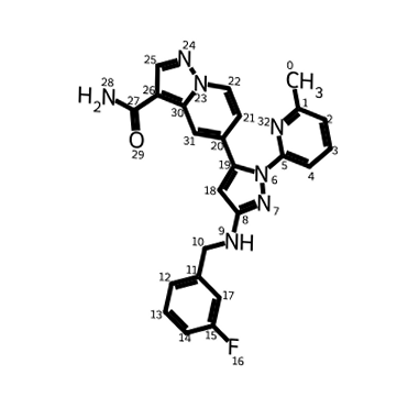 Cc1cccc(-n2nc(NCc3cccc(F)c3)cc2-c2ccn3ncc(C(N)=O)c3c2)n1